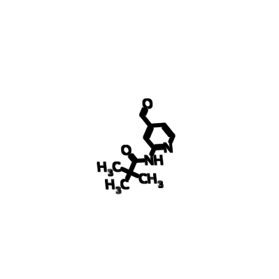 CC(C)(C)C(=O)Nc1cc(C=O)ccn1